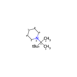 CC(C)(C)C(C)(C)N1CCCCC1